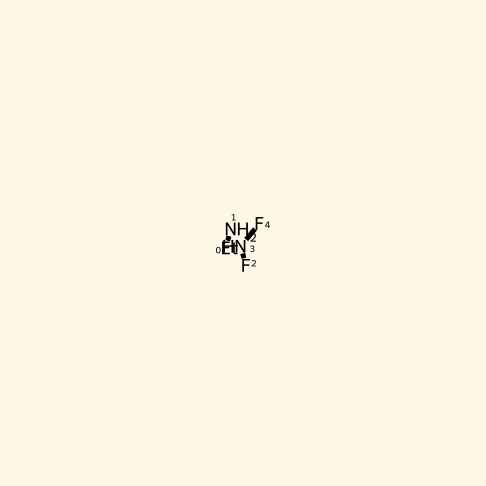 CCN.FNF